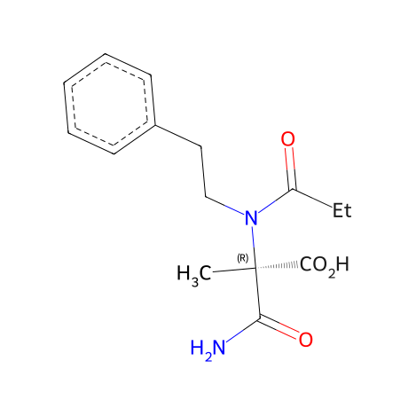 CCC(=O)N(CCc1ccccc1)[C@](C)(C(N)=O)C(=O)O